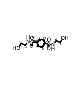 O=S(=O)(NCCO)c1ccc(S(=O)(=O)NCCO)cc1